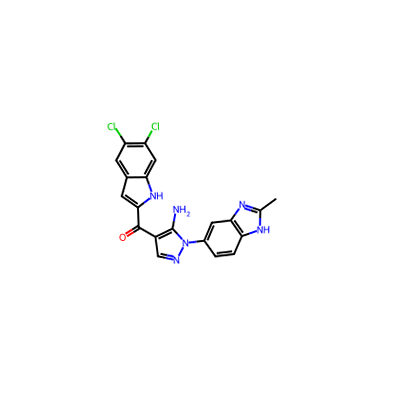 Cc1nc2cc(-n3ncc(C(=O)c4cc5cc(Cl)c(Cl)cc5[nH]4)c3N)ccc2[nH]1